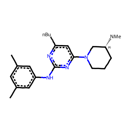 CCCCc1cc(N2CCC[C@@H](NC)C2)nc(Nc2cc(C)cc(C)c2)n1